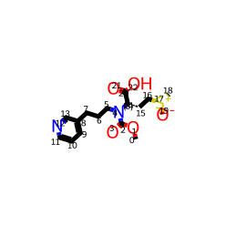 COC(=O)N(CCCc1cccnc1)[C@@H](CC[S+](C)[O-])C(=O)O